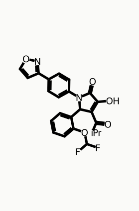 CC(C)C(=O)C1=C(O)C(=O)N(c2ccc(-c3ccon3)cc2)C1c1ccccc1OC(F)F